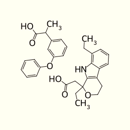 CC(C(=O)O)c1cccc(Oc2ccccc2)c1.CCc1cccc2c3c([nH]c12)C(CC)(CC(=O)O)OCC3